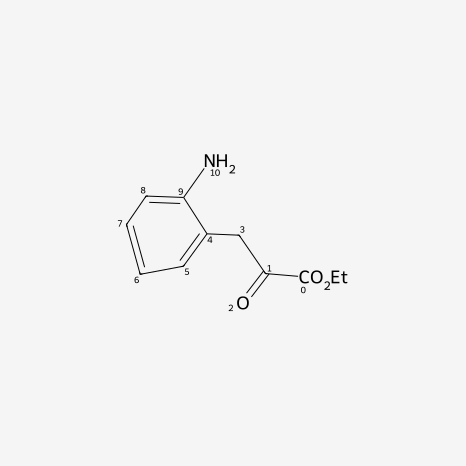 CCOC(=O)C(=O)Cc1ccccc1N